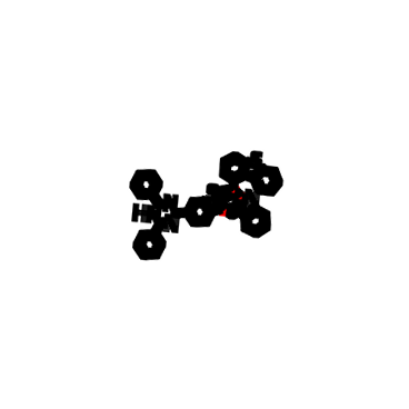 c1ccc(C2=NC(c3ccc4c(c3)sc3c(-c5cccc6sc7cccc(-n8c9ccccc9c9ccccc98)c7c56)cccc34)=NC(c3ccccc3)N2)cc1